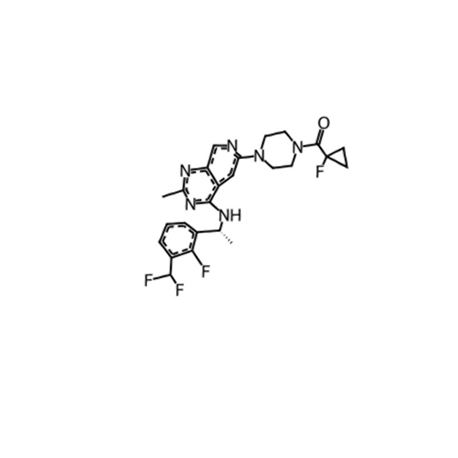 Cc1nc(N[C@H](C)c2cccc(C(F)F)c2F)c2cc(N3CCN(C(=O)C4(F)CC4)CC3)ncc2n1